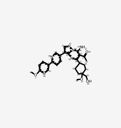 COc1ccc(-c2ccc(-c3cnn4c(N)c(C(C)=O)c(C5CCC(CO)(OC)CC5)nc34)cn2)cn1